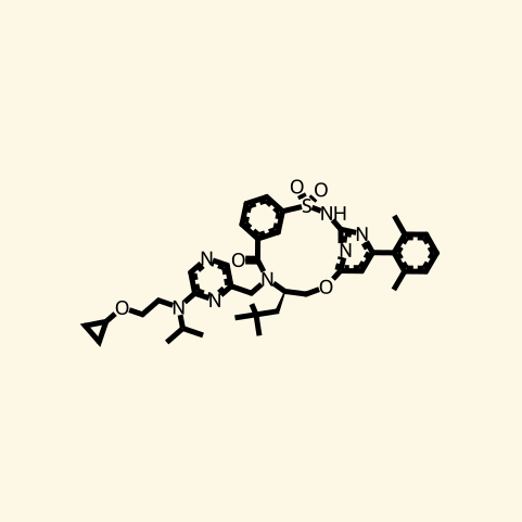 Cc1cccc(C)c1-c1cc2nc(n1)NS(=O)(=O)c1cccc(c1)C(=O)N(Cc1cncc(N(CCOC3CC3)C(C)C)n1)[C@H](CC(C)(C)C)CO2